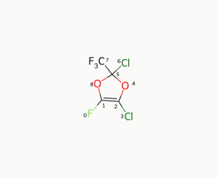 FC1=C(Cl)OC(Cl)(C(F)(F)F)O1